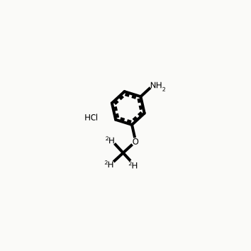 Cl.[2H]C([2H])([2H])Oc1cccc(N)c1